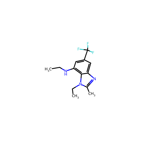 CCNc1cc(C(F)(F)F)cc2nc(C)n(CC)c12